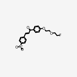 O=C(C=Cc1ccc([N+](=O)[O-])cc1)c1ccc(OCCOCCF)cc1